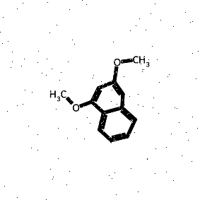 COc1cc(OC)c2c[c]ccc2c1